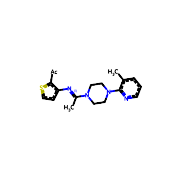 CC(=O)c1sccc1/N=C(\C)N1CCN(c2ncccc2C)CC1